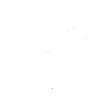 Cc1ccc(-n2nc(C(C)(C)C)cc2NC(=O)Nc2ccc(CC3CC4CCC(C3)N4C(=O)c3coc4c3C(=O)CCC4)cc2)cc1